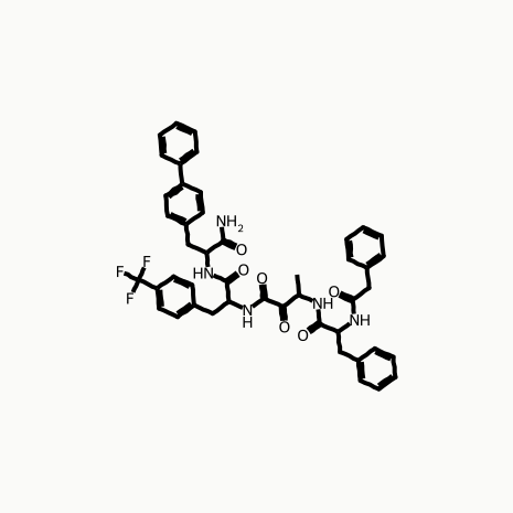 CC(NC(=O)C(Cc1ccccc1)NC(=O)Cc1ccccc1)C(=O)C(=O)NC(Cc1ccc(C(F)(F)F)cc1)C(=O)NC(Cc1ccc(-c2ccccc2)cc1)C(N)=O